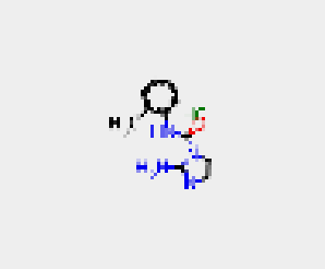 Cc1ccccc1NC(=O)N1CCN=C1N.Cl